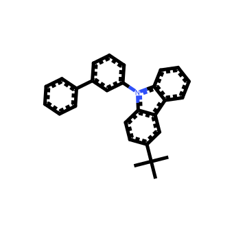 CC(C)(C)c1ccc2c(c1)c1ccccc1n2-c1cccc(-c2ccccc2)c1